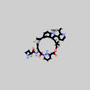 CCn1c(-c2cccnc2[C@H](C)OC)c2c3cc(ccc31)-c1csc(n1)C[C@H](NC(=O)C1(F)CCN1)C(=O)N1CCC[C@H](N1)C(=O)OCC(C)(C)C2